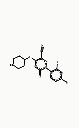 N#Cc1nn(-c2ccc(Br)cc2F)c(=O)cc1OC1CCNCC1